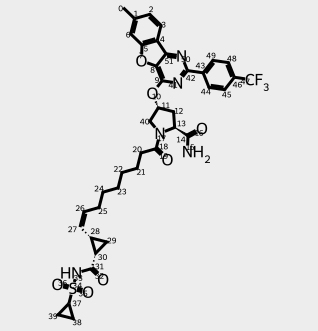 Cc1ccc2c(c1)oc1c(O[C@@H]3C[C@@H](C(N)=O)N(C(=O)CCCCCC/C=C\[C@@H]4C[C@@H]4C(=O)NS(=O)(=O)C4CC4)C3)nc(-c3ccc(C(F)(F)F)cc3)nc12